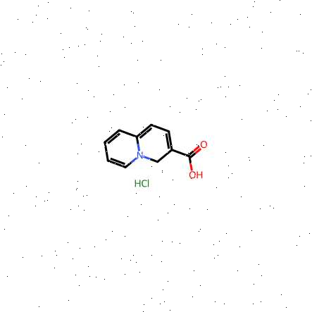 Cl.O=C(O)C1=CC=C2C=CC=CN2C1